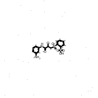 Nc1cccc(NC(=O)C(Cl)CS(=O)(=O)c2ccccc2S(=O)(=O)O)c1